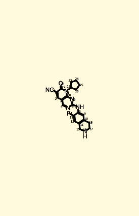 N#Cc1cc2cnc(Nc3cc4c(cc3F)CNCC4)nc2n(C2CCCC2)c1=O